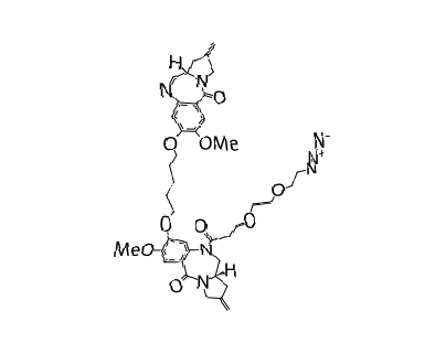 C=C1C[C@H]2CN(C(=O)CCOCCOCCN=[N+]=[N-])c3cc(OCCCCCOc4cc5c(cc4OC)C(=O)N4CC(=C)C[C@H]4C=N5)c(OC)cc3C(=O)N2C1